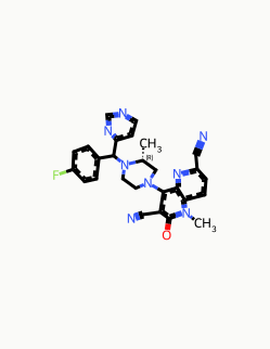 C[C@@H]1CN(c2c(C#N)c(=O)n(C)c3ccc(C#N)nc23)CCN1C(c1ccc(F)cc1)c1ccncn1